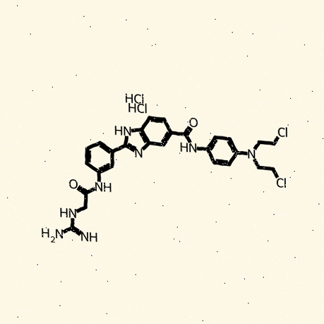 Cl.Cl.N=C(N)NCC(=O)Nc1cccc(-c2nc3cc(C(=O)Nc4ccc(N(CCCl)CCCl)cc4)ccc3[nH]2)c1